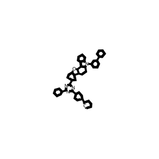 C1=CC2c3cc(-c4nc(-c5ccccc5)nc(-c5ccc(-c6ccccc6)cc5)n4)ccc3OC2c2c1n(-c1cccc(-c3ccccc3)c1)c1ccccc21